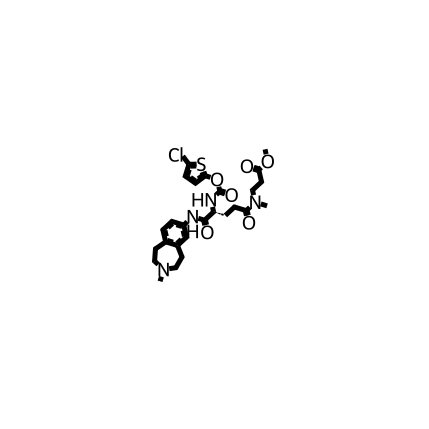 COC(=O)CCN(C)C(=O)CC[C@@H](NC(=O)Oc1ccc(Cl)s1)C(=O)Nc1ccc2c(c1)CCN(C)CC2